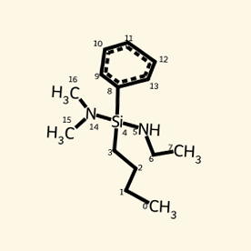 CCCC[Si](NCC)(c1ccccc1)N(C)C